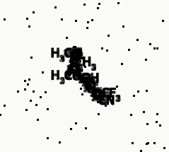 Cc1cc(CN2[C@@H](C)CCC[C@@H]2C)ccc1OCCC1(O)CCN(c2ccc(C#N)c(C(F)(F)F)c2)CC1